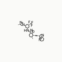 Cc1cn(-c2cc(Nc3noc4c(C#Cc5cnc6cccnn56)c(C)ccc34)cc(C(F)(F)F)c2)cn1